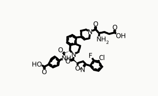 NC(CCC(=O)O)C(=O)N1CC=C(c2cccc3c2CCN(C(=O)[C@H]2CC(c4cccc(Cl)c4F)=NO2)[C@@H]3C(=O)Nc2ccc(C(=O)O)cc2)CC1